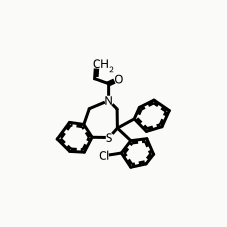 C=CC(=O)N1Cc2ccccc2SC(c2ccccc2)(c2ccccc2Cl)C1